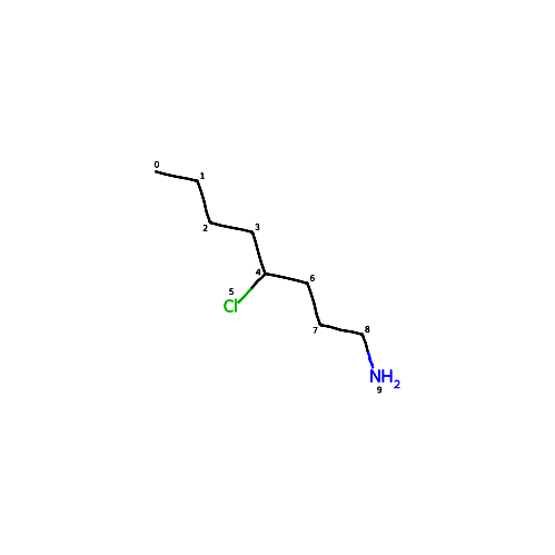 CCCCC(Cl)CCCN